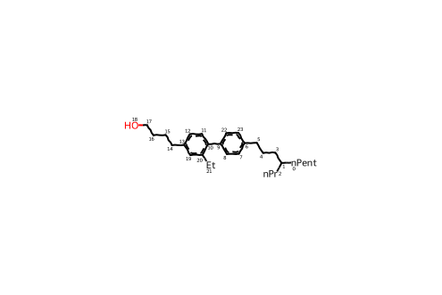 CCCCCC(CCC)CCCc1ccc(-c2ccc(CCCCO)cc2CC)cc1